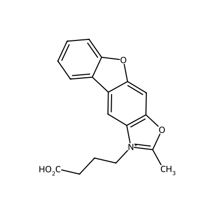 Cc1oc2cc3oc4ccccc4c3cc2[n+]1CCCC(=O)O